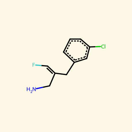 NCC(=CF)Cc1cccc(Cl)c1